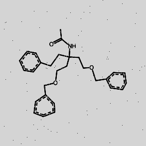 CC(=O)NC(CCOCc1ccccc1)(CCOCc1ccccc1)CCc1ccccc1